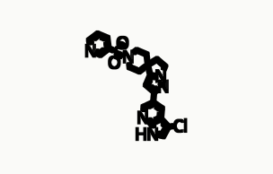 O=S(=O)(c1cccnc1)N1CCC2(CC1)CCn1nc(-c3cnc4[nH]cc(Cl)c4c3)cc12